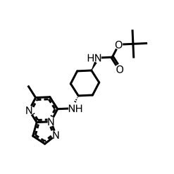 Cc1cc(N[C@H]2CC[C@H](NC(=O)OC(C)(C)C)CC2)n2nccc2n1